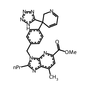 CCCc1nc2c(C)cc(C(=O)OC)nc2n1Cc1ccc(C2(c3nnn[nH]3)C=CC=NC2)cc1